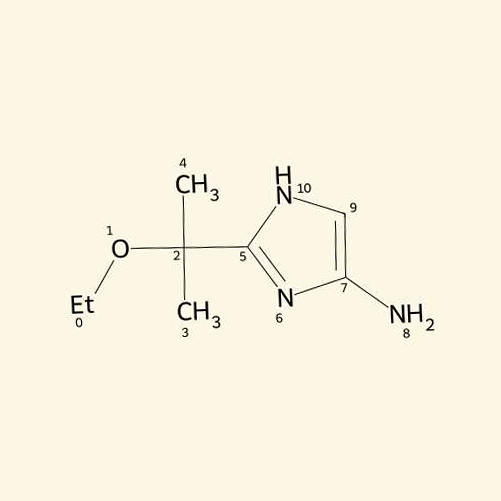 CCOC(C)(C)c1nc(N)c[nH]1